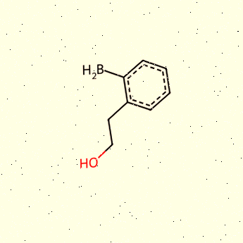 Bc1ccccc1CCO